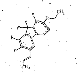 C/C=C/c1cc2c(c(F)c1F)C(F)(F)c1c-2ccc(OCC)c1F